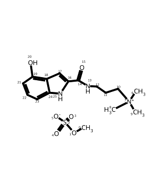 COS(=O)(=O)[O-].C[N+](C)(C)CCCNC(=O)c1cc2c(O)cccc2[nH]1